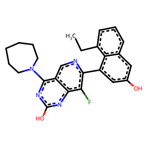 CCc1cccc2cc(O)cc(-c3ncc4c(N5CCCCCC5)nc(O)nc4c3F)c12